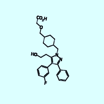 O=C(O)COCC1CCC(Cn2nc(-c3ccccc3)c(-c3cccc(F)c3)c2CCO)CC1